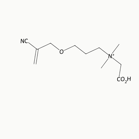 C=C(C#N)COCCC[N+](C)(C)CC(=O)O